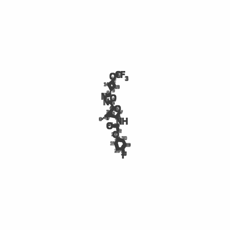 C[C@H]1C2C1[C@@H](c1nnc([C@H]3C[C@@H](OC(F)(F)F)C3)o1)OC[C@@H]2NC(=O)COc1ccc(F)cc1